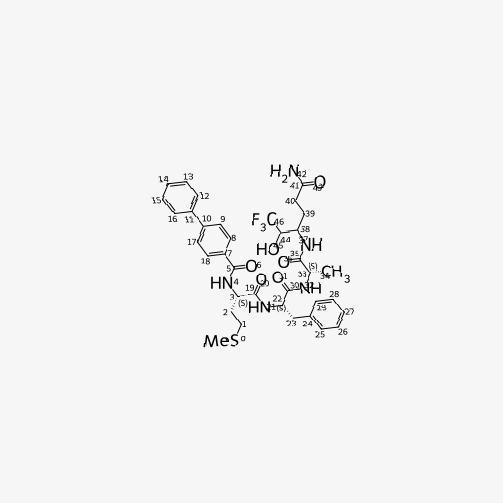 CSCC[C@H](NC(=O)c1ccc(-c2ccccc2)cc1)C(=O)N[C@@H](Cc1ccccc1)C(=O)N[C@@H](C)C(=O)NC(CCC(N)=O)C(O)C(F)(F)F